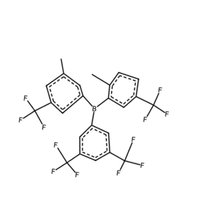 Cc1cc(B(c2cc(C(F)(F)F)cc(C(F)(F)F)c2)c2cc(C(F)(F)F)ccc2C)cc(C(F)(F)F)c1